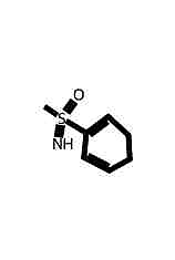 CS(=N)(=O)C1=CCCC=C1